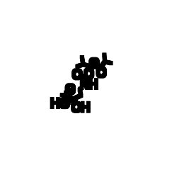 CC(C)C(=O)OC(OC(=O)NCC[C@@H](O)P(C)(=O)O)C(C)C